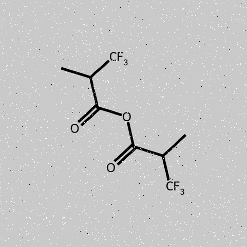 CC(C(=O)OC(=O)C(C)C(F)(F)F)C(F)(F)F